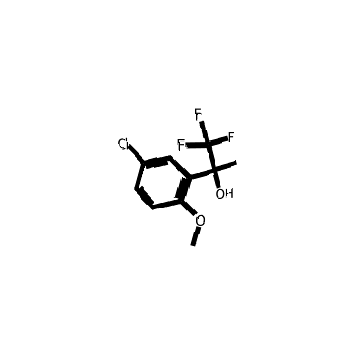 COc1ccc(Cl)cc1C(C)(O)C(F)(F)F